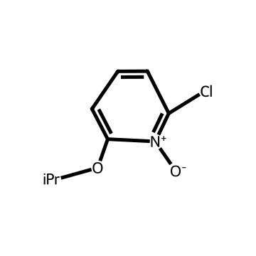 CC(C)Oc1cccc(Cl)[n+]1[O-]